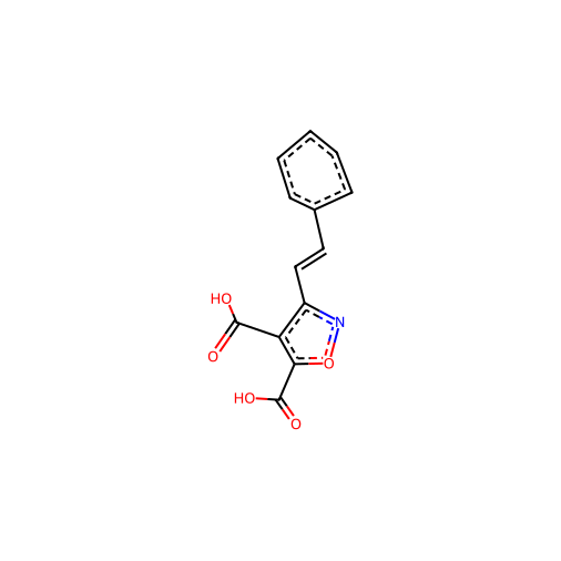 O=C(O)c1onc(C=Cc2ccccc2)c1C(=O)O